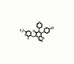 Cc1nc(C(F)(F)F)ccc1Cn1c(=O)c(-c2ccncc2)c(-c2ccc(Cl)cc2)c2nncn21